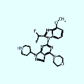 COc1cccc2c1nc(C(F)F)n2-c1nc(N2CCOCC2)c2cnn(C3CCNCC3)c2n1